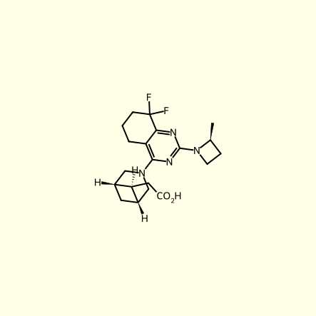 C[C@H]1CCN1c1nc(N2C[C@H]3C[C@@H](C2)[C@@H]3CC(=O)O)c2c(n1)C(F)(F)CCC2